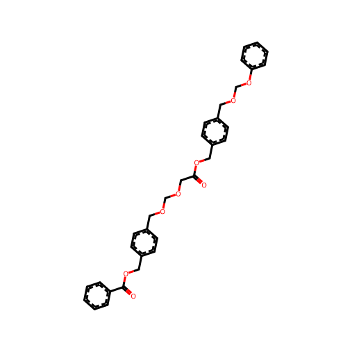 O=C(COCOCc1ccc(COC(=O)c2ccccc2)cc1)OCc1ccc(COCOc2ccccc2)cc1